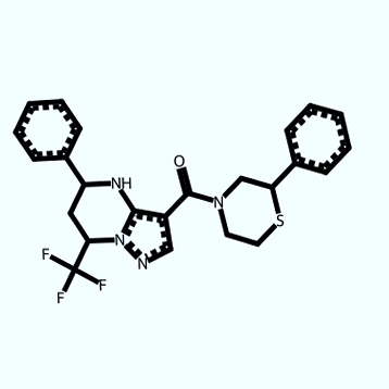 O=C(c1cnn2c1NC(c1ccccc1)CC2C(F)(F)F)N1CCSC(c2ccccc2)C1